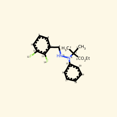 CCOC(=O)C(C)(C)N(NCc1cccc(F)c1F)c1ccccc1